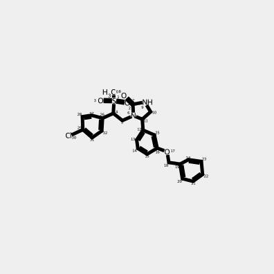 CS(=O)(=O)C(CN1C(=O)NCC1c1cccc(OCc2ccccc2)c1)c1ccc(Cl)cc1